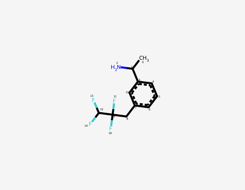 CC(N)c1cccc(CC(F)(F)C(F)F)c1